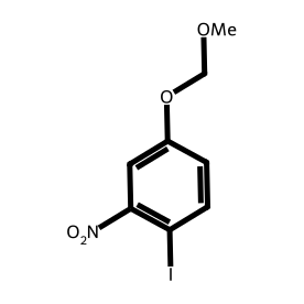 COCOc1ccc(I)c([N+](=O)[O-])c1